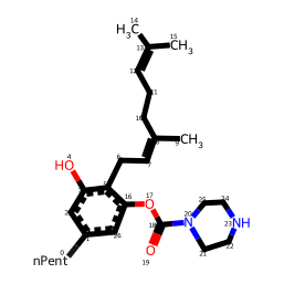 CCCCCc1cc(O)c(CC=C(C)CCC=C(C)C)c(OC(=O)N2CCNCC2)c1